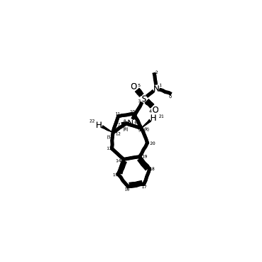 CN(C)S(=O)(=O)N1C[C@@]12[C@@H]1CC[C@H]2Cc2ccccc2C1